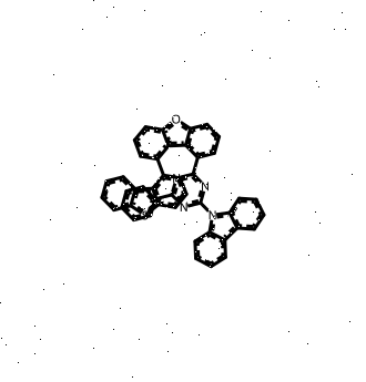 c1ccc(-c2nc(-c3cccc4oc5cccc(-c6cccc7sc8ccccc8c67)c5c34)nc(-n3c4ccccc4c4ccccc43)n2)cc1